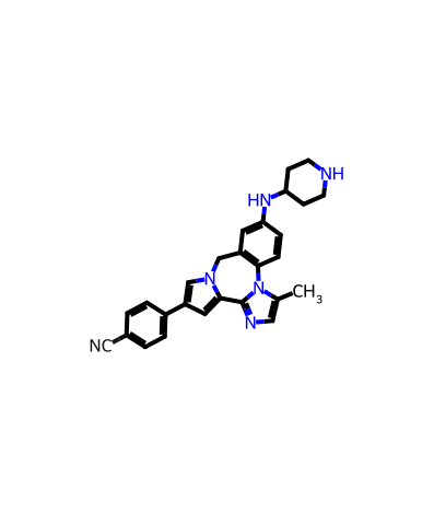 Cc1cnc2n1-c1ccc(NC3CCNCC3)cc1Cn1cc(-c3ccc(C#N)cc3)cc1-2